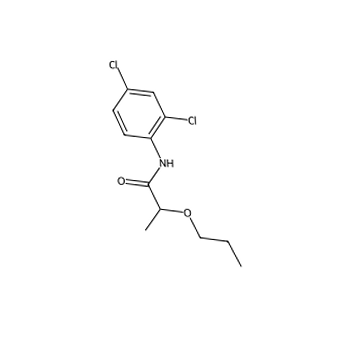 CCCOC(C)C(=O)Nc1ccc(Cl)cc1Cl